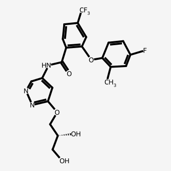 Cc1cc(F)ccc1Oc1cc(C(F)(F)F)ccc1C(=O)Nc1cnnc(OC[C@H](O)CO)c1